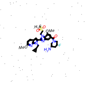 COc1ccc2cc(-c3nc4cc(C(=O)N5C[C@H](N)C[C@@H](F)C5)cc(OC)c4n3CCS(C)(=O)=O)n(CC3CC3)c2n1